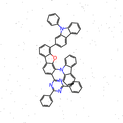 c1ccc(-c2nc(-c3ccccc3)nc(-c3ccc4c(oc5c(-c6ccc7c8ccccc8n(-c8ccccc8)c7c6)cccc54)c3-n3c4ccccc4c4ccccc43)n2)cc1